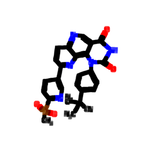 CC(C)(C#N)c1ccc(-n2c(=O)[nH]c(=O)c3cnc4ccc(-c5ccc(S(C)(=O)=O)nc5)nc4c32)cc1